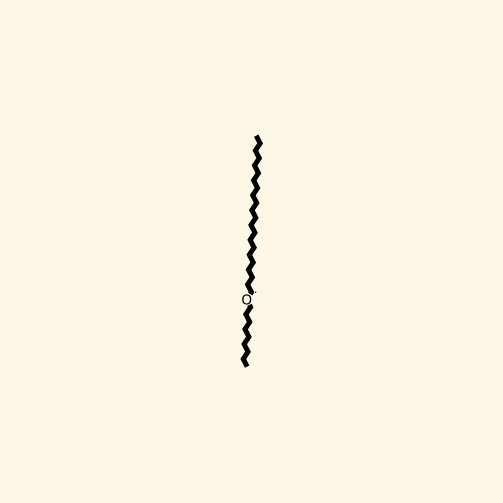 CCCCCCCCCCCCCCCCCCCCC[CH]OCCCCCCCCC